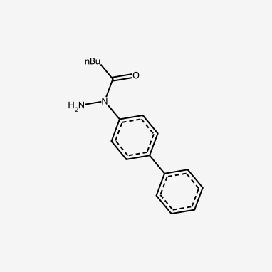 CCCCC(=O)N(N)c1ccc(-c2ccccc2)cc1